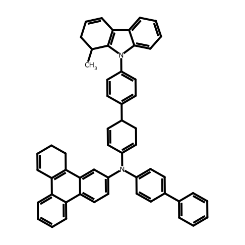 CC1CC=Cc2c1n(-c1ccc(C3C=CC(N(c4ccc(-c5ccccc5)cc4)c4ccc5c(c4)c4c(c6ccccc65)C=CCC4)=CC3)cc1)c1ccccc21